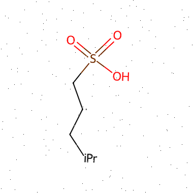 CC(C)C[CH]CS(=O)(=O)O